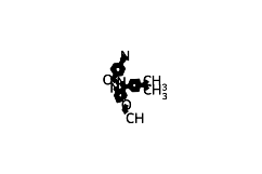 C#CCOc1ccc2nc(C(=O)c3ccc(C#N)cc3)nc(-c3ccc(C(C)C)cc3)c2c1